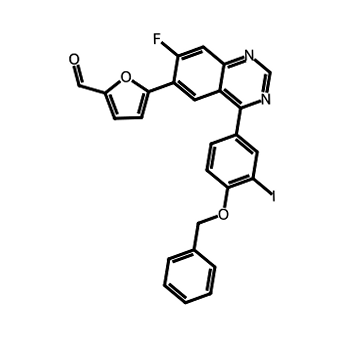 O=Cc1ccc(-c2cc3c(-c4ccc(OCc5ccccc5)c(I)c4)ncnc3cc2F)o1